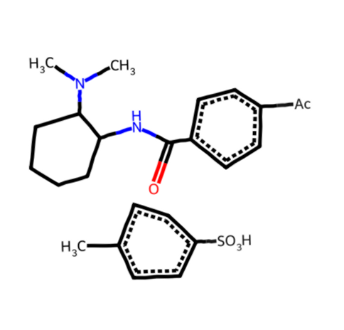 CC(=O)c1ccc(C(=O)NC2CCCCC2N(C)C)cc1.Cc1ccc(S(=O)(=O)O)cc1